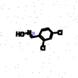 O/N=C/c1ccc(Cl)cc1Cl